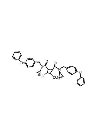 O=C(O)C1C(C(=O)O)C(C(=O)N(Cc2ccc(Oc3ccccc3)cc2)C2CC2)C1C(=O)N(Cc1ccc(Oc2ccccc2)cc1)C1CC1